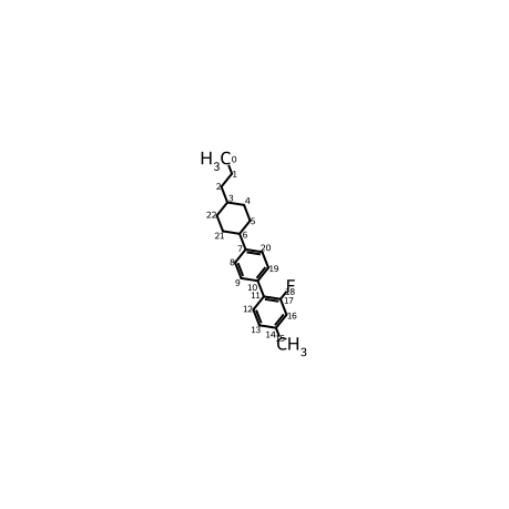 CCCC1CCC(c2ccc(-c3ccc(C)cc3F)cc2)CC1